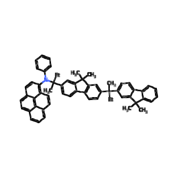 CCC(C)(c1ccc2c(c1)C(C)(C)c1ccccc1-2)c1ccc2c(c1)C(C)(C)c1cc(C(C)(CC)N(c3ccccc3)c3ccc4ccc5cccc6ccc3c4c56)ccc1-2